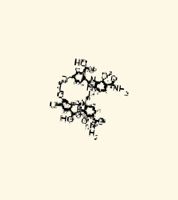 COc1c(C(N)=O)ccc2c1nc1n2CCn2c(nc3c(OC)c(C(N)=O)ccc32)-c2cc(c(Cl)cc2C(=O)O)OCCOc2ccc-1c(C(=O)O)c2